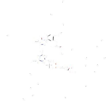 CCNc1nc(Cl)nc(NC(C)(C)C)n1.CCOC(=O)C(Cl)Cc1cc(-n2nc(C)n(C(F)F)c2=O)c(F)cc1Cl.O=C(O)CNCP(=O)(O)O